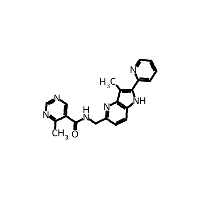 Cc1ncncc1C(=O)NCc1ccc2[nH]c(-c3ccccn3)c(C)c2n1